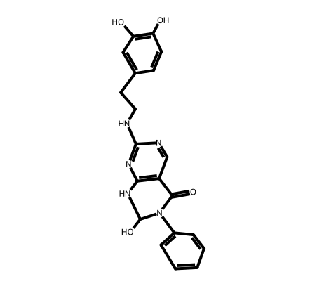 O=C1c2cnc(NCCc3ccc(O)c(O)c3)nc2NC(O)N1c1ccccc1